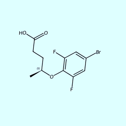 C[C@@H](CCC(=O)O)Oc1c(F)cc(Br)cc1F